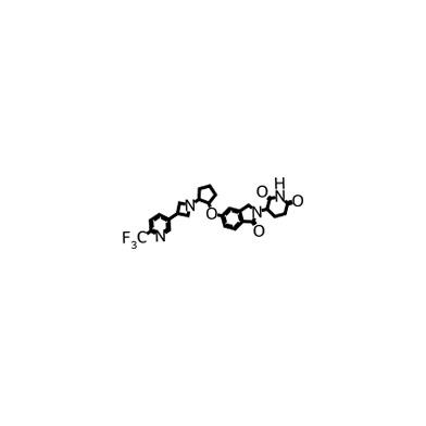 O=C1CCC(N2Cc3cc(OC4CCCC4N4CC(c5ccc(C(F)(F)F)nc5)C4)ccc3C2=O)C(=O)N1